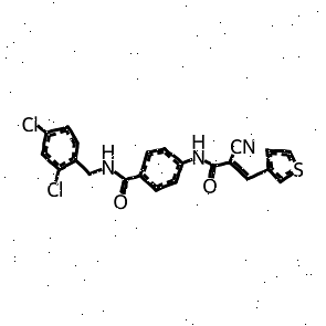 N#C/C(=C\c1ccsc1)C(=O)Nc1ccc(C(=O)NCc2ccc(Cl)cc2Cl)cc1